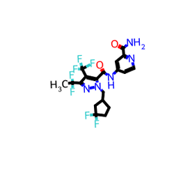 CC(F)(F)c1nn(CC2CCC(F)(F)C2)c(C(=O)Nc2ccnc(C(N)=O)c2)c1C(F)(F)F